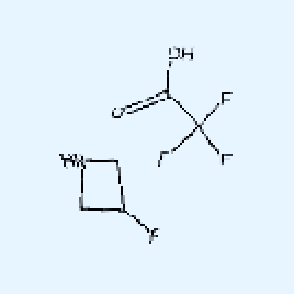 FC1CNC1.O=C(O)C(F)(F)F